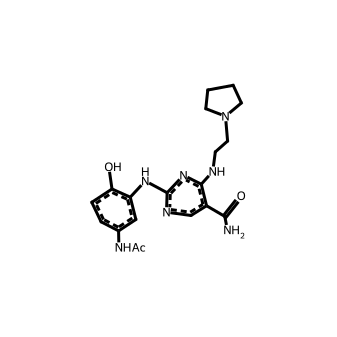 CC(=O)Nc1ccc(O)c(Nc2ncc(C(N)=O)c(NCCN3CCCC3)n2)c1